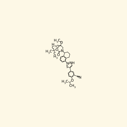 COC(=O)CN(C(=O)OC(C)(C)C)C1CCCc2c1cccc2N1NC=C(c2ccc(OC(C)C)c(C#N)c2)S1